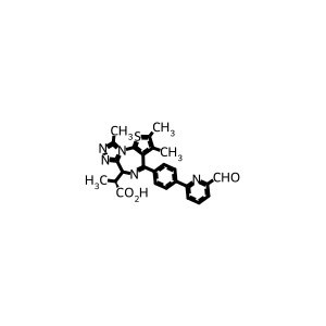 Cc1sc2c(c1C)C(c1ccc(-c3cccc(C=O)n3)cc1)=NC([C@H](C)C(=O)O)c1nnc(C)n1-2